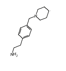 NCCc1ccc(CN2CC[CH]CC2)cc1